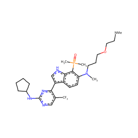 CNCCOCCCN(C)c1ccc2c(-c3nc(NC4CCCC4)ncc3C(F)(F)F)c[nH]c2c1P(C)(C)=O